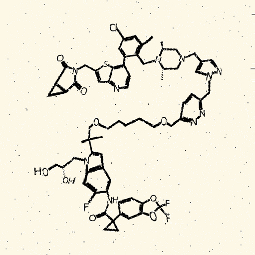 Cc1cc(Cl)cc(-c2ccnc3cc(CN4C(=O)C5CC5C4=O)sc23)c1CN1[C@@H](C)CN(Cc2cnn(Cc3ccc(COCCCCCOCC(C)(C)c4cc5cc(NC(=O)C6(c7ccc8c(c7)OC(F)(F)O8)CC6)c(F)cc5n4C[C@H](O)CO)nn3)c2)C[C@@H]1C